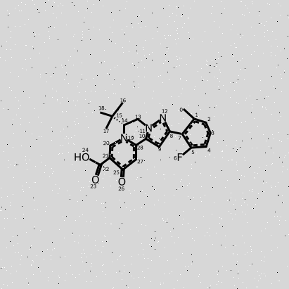 Cc1cccc(F)c1-c1cc2n(n1)C[C@@H](C(C)(C)C)n1cc(C(=O)O)c(=O)cc1-2